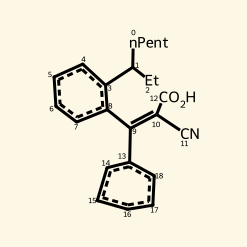 CCCCCC(CC)c1ccccc1C(=C(C#N)C(=O)O)c1ccccc1